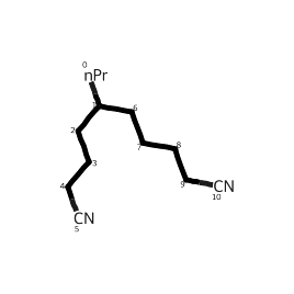 CCCC(CCCC#N)CCCCC#N